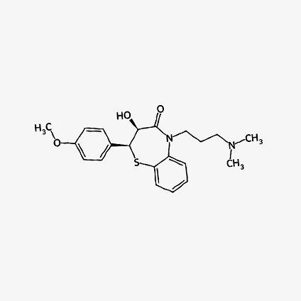 COc1ccc([C@@H]2Sc3ccccc3N(CCCN(C)C)C(=O)[C@@H]2O)cc1